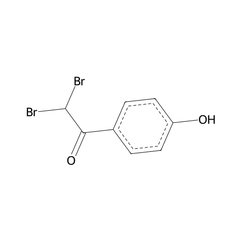 O=C(c1ccc(O)cc1)C(Br)Br